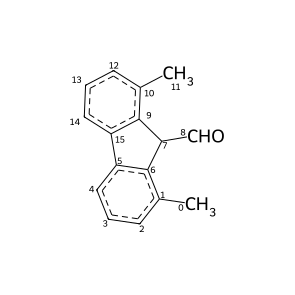 Cc1cccc2c1C(C=O)c1c(C)cccc1-2